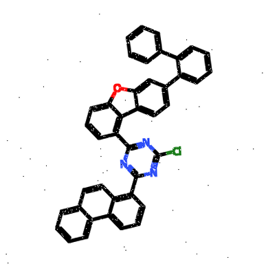 Clc1nc(-c2cccc3c2ccc2ccccc23)nc(-c2cccc3oc4cc(-c5ccccc5-c5ccccc5)ccc4c23)n1